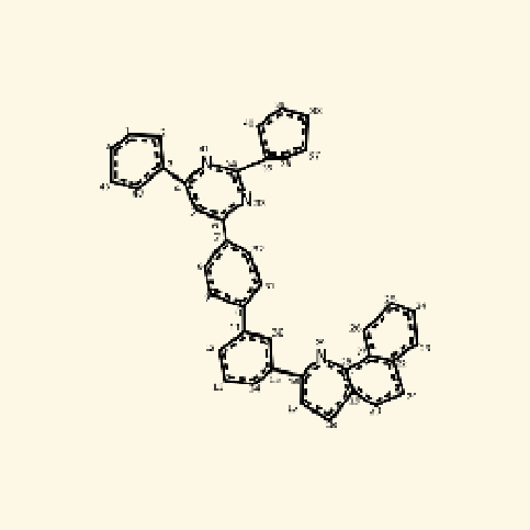 c1ccc(-c2cc(-c3ccc(-c4cccc(-c5ccc6ccc7ccccc7c6n5)c4)cc3)nc(-c3ccccc3)n2)cc1